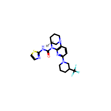 O=C(Nc1nccs1)N1c2nc(N3CCCC(C(F)(F)F)C3)ccc2N2CCC[C@H]1C2